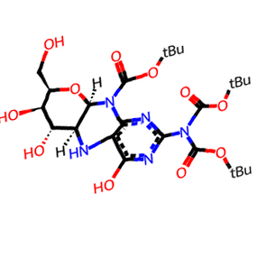 CC(C)(C)OC(=O)N(C(=O)OC(C)(C)C)c1nc(O)c2c(n1)N(C(=O)OC(C)(C)C)[C@@H]1O[C@H](CO)[C@H](O)[C@@H](O)[C@@H]1N2